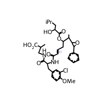 COc1ccc(CC(NC(=O)/C=C/CC(OC(=O)C(O)CC(C)C)C(C)C2OC2c2ccccc2)C(=O)NCC(C)C(=O)O)cc1Cl